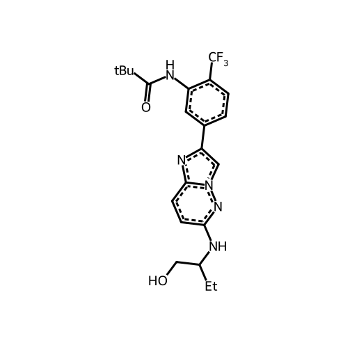 CCC(CO)Nc1ccc2nc(-c3ccc(C(F)(F)F)c(NC(=O)C(C)(C)C)c3)cn2n1